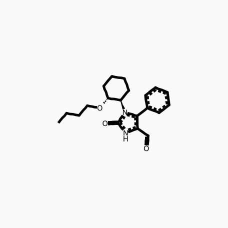 CCCCO[C@@H]1CCCC[C@H]1n1c(-c2ccccc2)c(C=O)[nH]c1=O